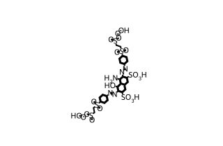 Nc1c(N=Nc2ccc(S(=O)(=O)CCS(=O)OOO)cc2)c(S(=O)(=O)O)cc2cc(S(=O)(=O)O)c(N=Nc3ccc(S(=O)(=O)CCS(=O)OOO)cc3)c(O)c12